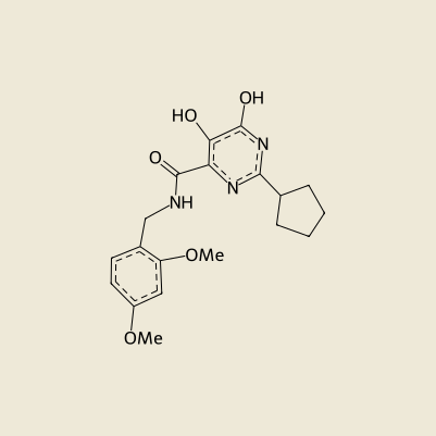 COc1ccc(CNC(=O)c2nc(C3CCCC3)nc(O)c2O)c(OC)c1